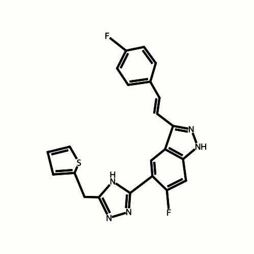 Fc1ccc(C=Cc2n[nH]c3cc(F)c(-c4nnc(Cc5cccs5)[nH]4)cc23)cc1